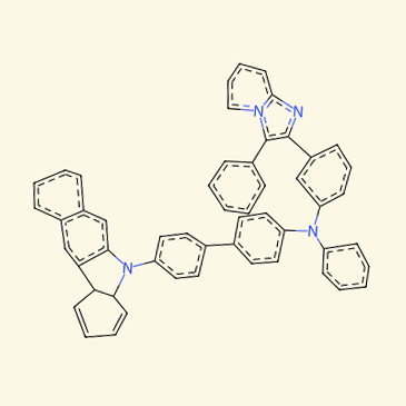 C1=CC2c3cc4ccccc4cc3N(c3ccc(-c4ccc(N(c5ccccc5)c5cccc(-c6nc7ccccn7c6-c6ccccc6)c5)cc4)cc3)C2C=C1